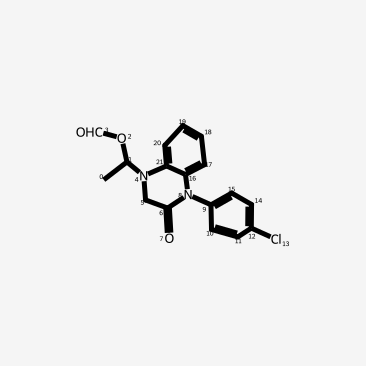 CC(OC=O)N1CC(=O)N(c2ccc(Cl)cc2)c2ccccc21